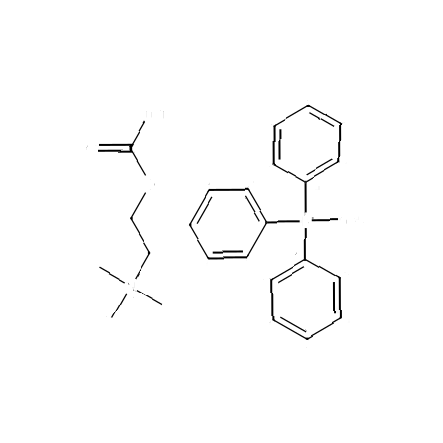 CCCC(=O)OCC[N+](C)(C)C.CCCC[B-](c1ccccc1)(c1ccccc1)c1ccccc1